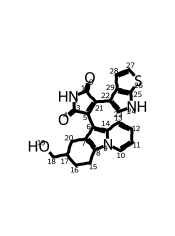 O=C1NC(=O)C(c2c3c(n4ccccc24)CCC(CO)C3)=C1c1c[nH]c2sccc12